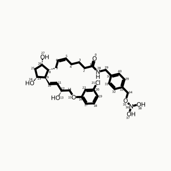 O=C(CCC/C=C\C[C@@H]1[C@@H](/C=C/[C@@H](O)COc2cccc(Cl)c2)[C@H](O)C[C@@H]1O)NCc1ccc(CON(O)O)cc1